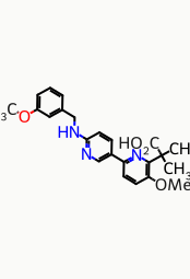 COc1ccc(-c2ccc(NCc3cccc(OC(F)(F)F)c3)nc2)nc1C(C)(C)C(=O)O